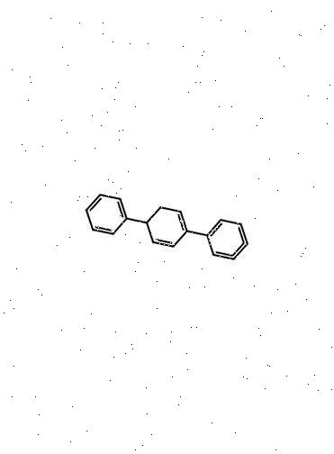 C1=C=CC(C2=CCC(c3ccccc3)C=C2)=CC=1